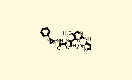 Cc1cnc(Nc2ccnn2C)nc1-c1coc(C(=O)N[C@H]2C[C@H]2c2ccccc2)n1